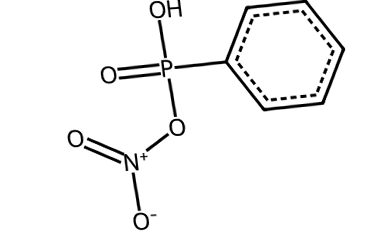 O=[N+]([O-])OP(=O)(O)c1ccccc1